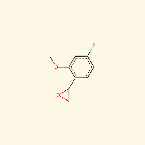 COc1cc(F)ccc1C1CO1